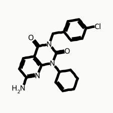 Nc1ccc2c(=O)n(Cc3ccc(Cl)cc3)c(=O)n(C3C=CCCC3)c2n1